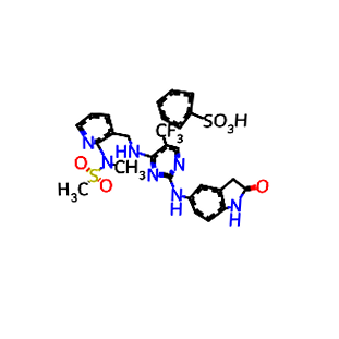 CN(c1ncccc1CNc1nc(Nc2ccc3c(c2)CC(=O)N3)ncc1C(F)(F)F)S(C)(=O)=O.O=S(=O)(O)c1ccccc1